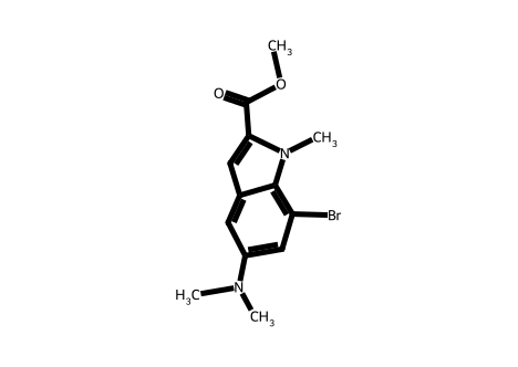 COC(=O)c1cc2cc(N(C)C)cc(Br)c2n1C